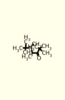 C[C@H](C(=O)C(C)(C)C)N(C)C(C)(C)C